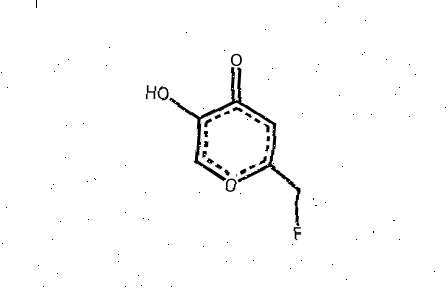 O=c1cc(CF)occ1O